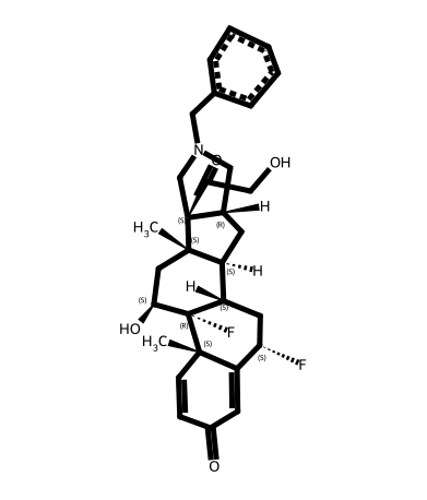 C[C@]12C=CC(=O)C=C1[C@@H](F)C[C@H]1[C@@H]3C[C@H]4CN(Cc5ccccc5)C[C@@]4(C(=O)CO)[C@@]3(C)C[C@H](O)[C@@]12F